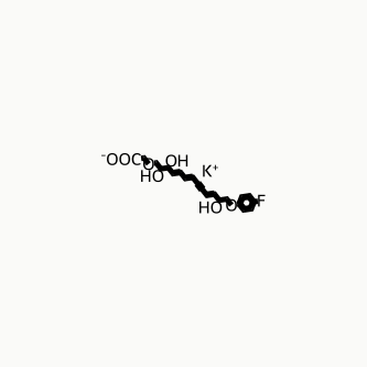 O=C([O-])COC[C@H](O)[C@H](O)/C=C/C=C/C#C/C=C/[C@@H](O)COc1ccc(F)cc1.[K+]